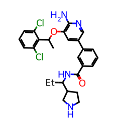 CCC(NC(=O)c1cccc(-c2cnc(N)c(OC(C)c3c(Cl)cccc3Cl)c2)c1)C1CCNC1